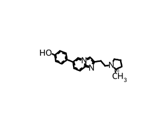 C[C@@H]1CCCN1CCc1cn2cc(-c3ccc(O)cc3)ccc2n1